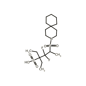 CCC(CC)(C(F)(F)C(C)S(=O)(=O)N1CCC2(CCCCC2)CC1)S(=O)(=O)O